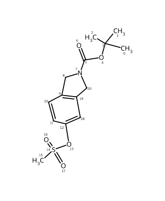 CC(C)(C)OC(=O)N1Cc2ccc(OS(C)(=O)=O)cc2C1